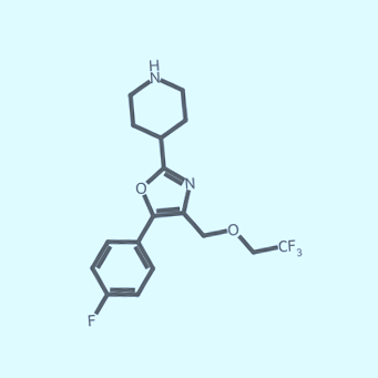 Fc1ccc(-c2oc(C3CCNCC3)nc2COCC(F)(F)F)cc1